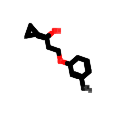 CC1=CC(OCCC(O)=C2CC2)CC=C1